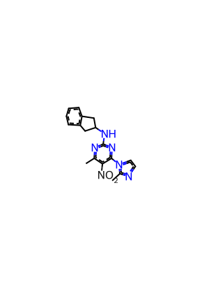 Cc1nc(NC2Cc3ccccc3C2)nc(-n2ccnc2C)c1[N+](=O)[O-]